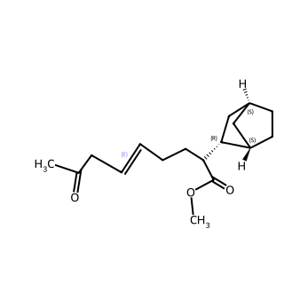 COC(=O)C(CC/C=C/CC(C)=O)[C@@H]1C[C@H]2CC[C@H]1C2